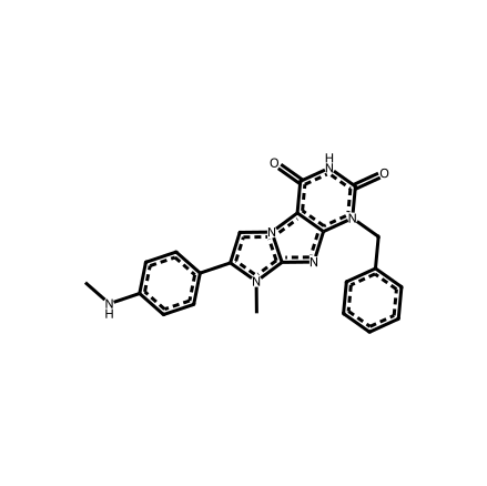 CNc1ccc(-c2cn3c4c(=O)[nH]c(=O)n(Cc5ccccc5)c4nc3n2C)cc1